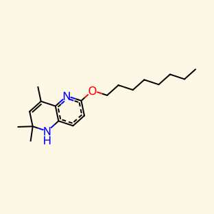 CCCCCCCCOc1ccc2c(n1)C(C)=CC(C)(C)N2